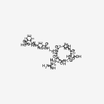 CN1C(=O)[C@@H](CCCCNC(=O)c2ccc(NN=Cc3ccccc3S(=O)(=O)O)nc2)NC(=O)Cc2csc(n2)NC(=O)[C@H](CC(=O)O)NC(=O)CNC(=O)[C@@H]1CCCNC(=N)N